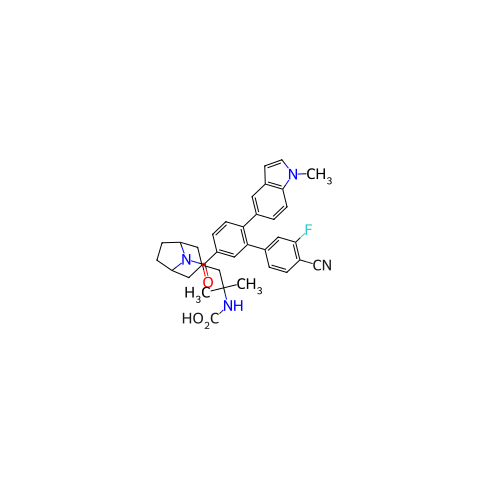 Cn1ccc2cc(-c3ccc(C(=O)N4C5CCC4CC(CC(C)(C)NC(=O)O)C5)cc3-c3ccc(C#N)c(F)c3)ccc21